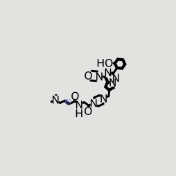 CN(C)C/C=C/C(=O)NCC(=O)N1CCN(Cc2cc3c(N4CCOCC4)nc(-c4ccccc4O)nn3c2)CC1